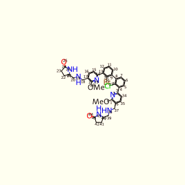 COc1nc(-c2cccc(-c3cccc(-c4ccc(CNC[C@H]5CCC(=O)N5)c(OC)n4)c3Br)c2Cl)ccc1CNC[C@H]1CCC(=O)N1